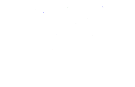 Cc1c(C(=O)OC(C)(C)CC#N)c2c(Br)cn(C)c(=O)c2n1COCC[Si](C)(C)C